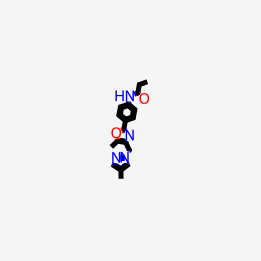 CCC(=O)Nc1ccc(-c2nc(Cn3cc(C)cn3)c(C)o2)cc1